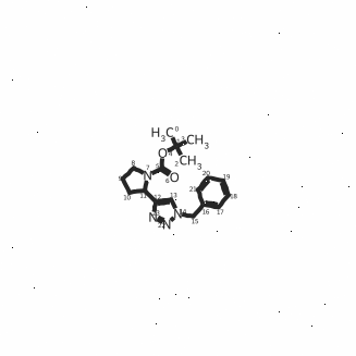 CC(C)(C)OC(=O)N1CCCC1c1cn(Cc2ccccc2)nn1